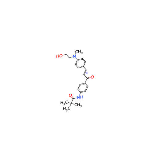 CN(CCO)c1ccc(/C=C/C(=O)c2ccc(NC(=O)C(C)(C)C)cc2)cc1